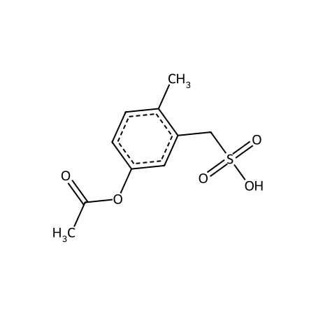 CC(=O)Oc1ccc(C)c(CS(=O)(=O)O)c1